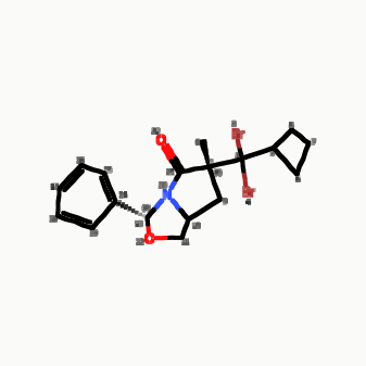 C[C@@]1(C(Br)(Br)C2CCC2)CC2CO[C@H](c3ccccc3)N2C1=O